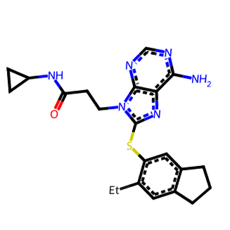 CCc1cc2c(cc1Sc1nc3c(N)ncnc3n1CCC(=O)NC1CC1)CCC2